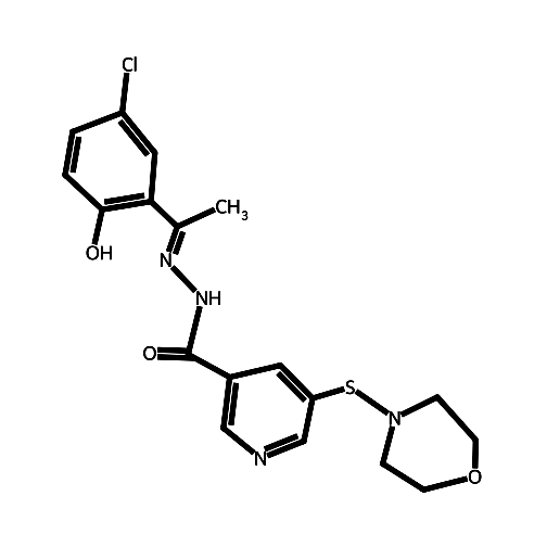 C/C(=N\NC(=O)c1cncc(SN2CCOCC2)c1)c1cc(Cl)ccc1O